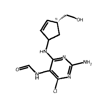 Nc1nc(Cl)c(NC=O)c(NC2C=C[C@H](CO)C2)n1